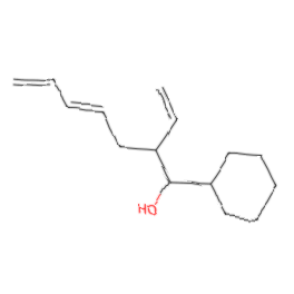 C=CC=CCC(C=C)C(O)C1CCCCC1